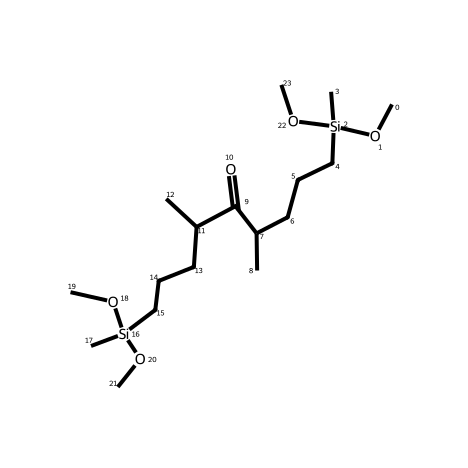 CO[Si](C)(CCCC(C)C(=O)C(C)CCC[Si](C)(OC)OC)OC